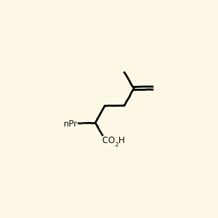 C=C(C)CCC(CCC)C(=O)O